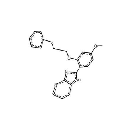 COc1ccc(-c2nc3ncccc3[nH]2)c(OCCSc2ccccc2)c1